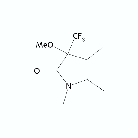 COC1(C(F)(F)F)C(=O)N(C)C(C)C1C